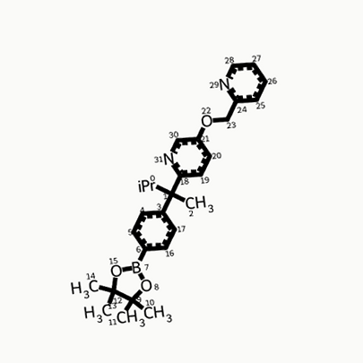 CC(C)C(C)(c1ccc(B2OC(C)(C)C(C)(C)O2)cc1)c1ccc(OCc2ccccn2)cn1